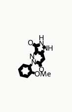 COc1ccccc1-n1nc2c(=O)[nH][nH]c2cc1=O